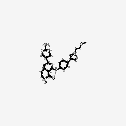 COCCn1cc(-c2ccc(Nc3nc(-c4cnc(N)nc4)cc4ccn(C)c(=O)c34)cc2)cn1